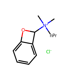 CCC[N+](C)(C)C1Oc2ccccc21.[Cl-]